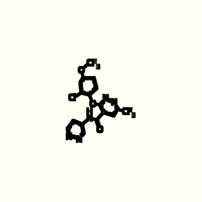 O=C(Nc1ccnnc1)c1cc(C(F)(F)F)nnc1Oc1ccc(OC(F)(F)F)cc1Cl